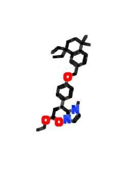 CCOC(=O)C[C@@H](c1ccc(OCc2ccc3c(c2)C(CC)(CC)CCC3(C)C)cc1)c1nccn1C